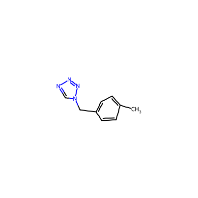 Cc1ccc(Cn2cnnn2)cc1